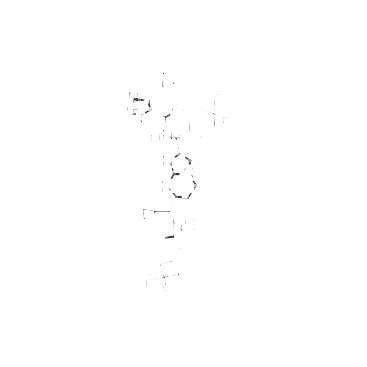 O=C(CC1CC(F)(F)C1)NC(c1ccn2cc([C@@H](NC(=O)c3nonc3C3CC3)C3CCC(F)(F)CC3)nc2n1)C1CC1